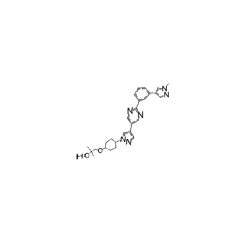 Cn1cc(-c2cccc(-c3ncc(-c4cnn(C5CCC(OCC(C)(C)O)CC5)c4)cn3)c2)cn1